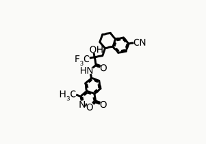 Cc1noc(=O)c2ccc(NC(=O)C(O)(CC3CCCc4cc(C#N)ccc43)C(F)(F)F)cc12